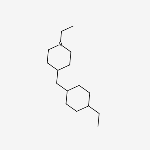 CCC1CCC(CC2CCN(CC)CC2)CC1